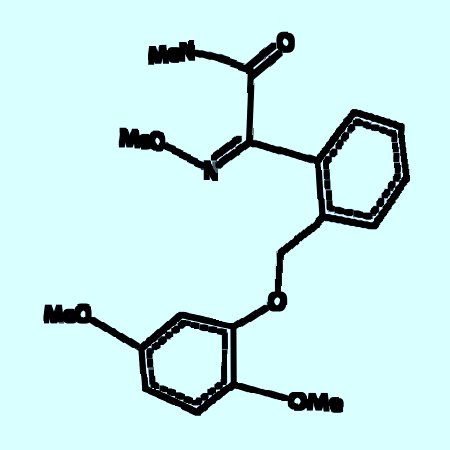 CNC(=O)C(=NOC)c1ccccc1COc1cc(OC)ccc1OC